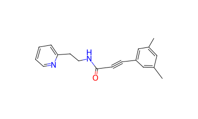 Cc1cc(C)cc(C#CC(=O)NCCc2ccccn2)c1